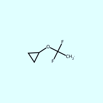 [CH2]C(F)(F)OC1CC1